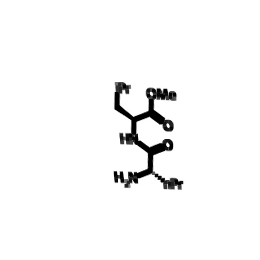 CCC[C@H](N)C(=O)N[C@@H](CC(C)C)C(=O)OC